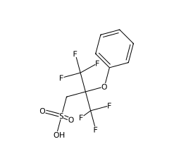 O=S(=O)(O)CC(Oc1ccccc1)(C(F)(F)F)C(F)(F)F